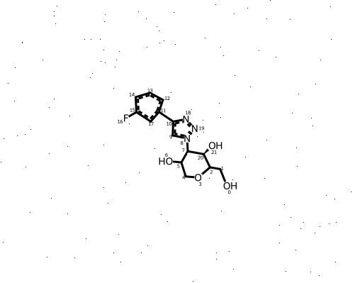 OCC1OCC(O)C(n2cc(-c3cccc(F)c3)nn2)[C@H]1O